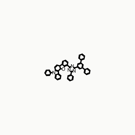 C1=CC2c3cccc(-c4nc(-c5ccccc5)nc(-c5cc(-c6ccccc6)cc(-c6ccccc6)c5)n4)c3OC2c2c1n(-c1ccccc1)c1ccccc21